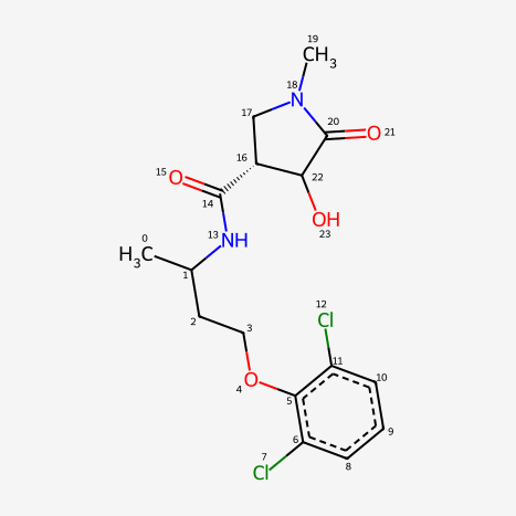 CC(CCOc1c(Cl)cccc1Cl)NC(=O)[C@@H]1CN(C)C(=O)C1O